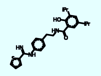 CC(C)c1cc(C(=O)NCCc2ccc(NC(=N)c3cccs3)cc2)c(O)c(C(C)C)c1